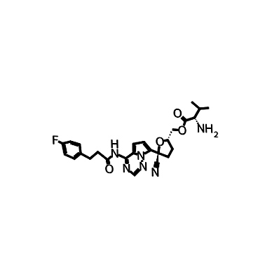 CC(C)[C@H](N)C(=O)OC[C@@H]1CC[C@](C#N)(c2ccc3c(NC(=O)CCc4ccc(F)cc4)ncnn23)O1